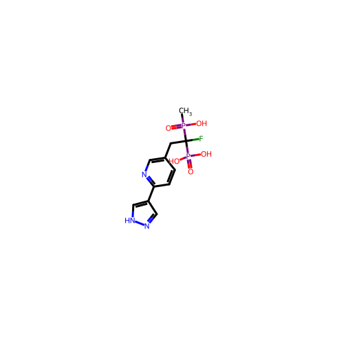 CP(=O)(O)C(F)(Cc1ccc(-c2cn[nH]c2)nc1)P(=O)(O)O